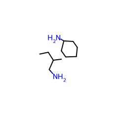 CCC(C)CN.NC1CCCCC1